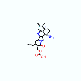 C=C(F)/C(C)=C1/CC[C@H](N)c2c3c(nc(C)c21)-c1cc(CCC)c(COC(=O)O)c(=O)n1C3